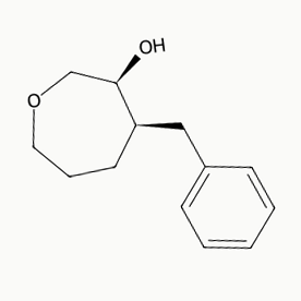 O[C@@H]1COCCC[C@@H]1Cc1ccccc1